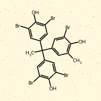 Cc1cc(C(C)(c2cc(Br)c(O)c(Br)c2)c2cc(Br)c(O)c(Br)c2)cc(Br)c1O